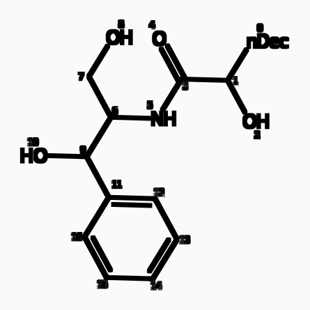 CCCCCCCCCCC(O)C(=O)NC(CO)C(O)c1ccccc1